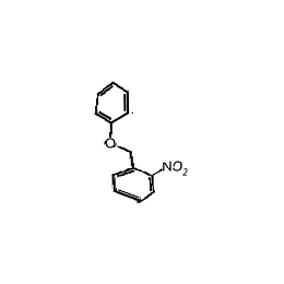 O=[N+]([O-])c1ccccc1COc1[c]cccc1